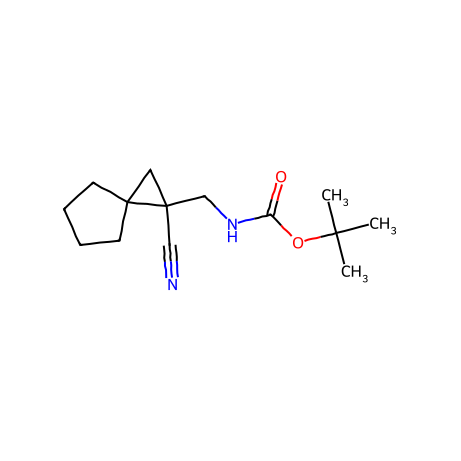 CC(C)(C)OC(=O)NCC1(C#N)CC12CCCC2